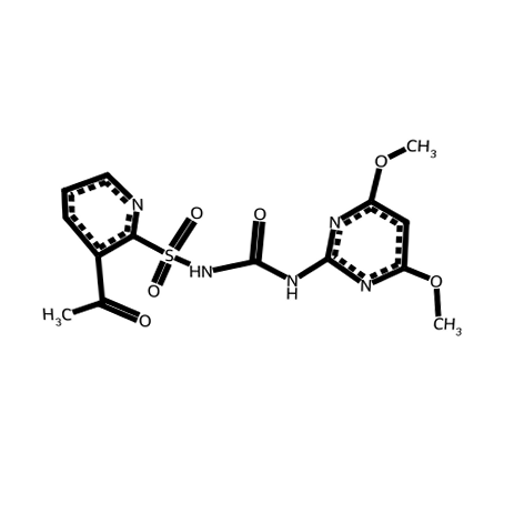 COc1cc(OC)nc(NC(=O)NS(=O)(=O)c2ncccc2C(C)=O)n1